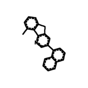 Cc1cccc2c1-c1ncc(-c3cccc4ccccc34)cc1C2